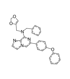 C1=C(CN(Cc2ccccc2)c2nc(-c3ccc(Oc4ccccc4)cc3)cn3ccnc23)OCO1